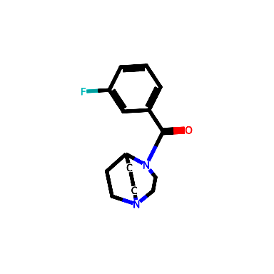 O=C(c1cccc(F)c1)N1CCN2CCC1CC2